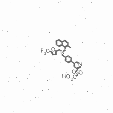 Cc1ccc2ccccc2c1CN(Cc1ccc(-c2cncc(S(=O)(=O)CC(=O)O)c2)cc1)Cc1ccc(C(F)(F)F)o1